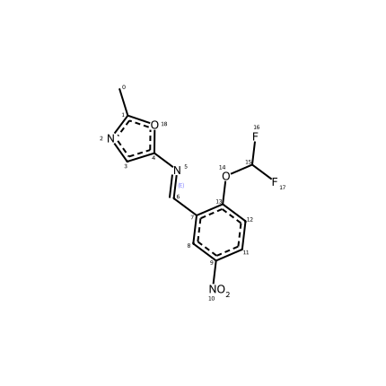 Cc1ncc(/N=C/c2cc([N+](=O)[O-])ccc2OC(F)F)o1